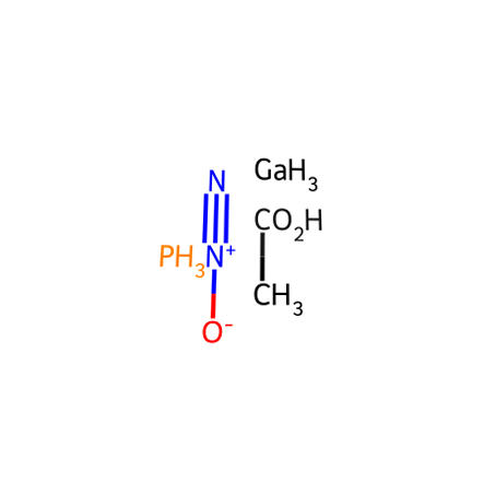 CC(=O)O.N#[N+][O-].P.[GaH3]